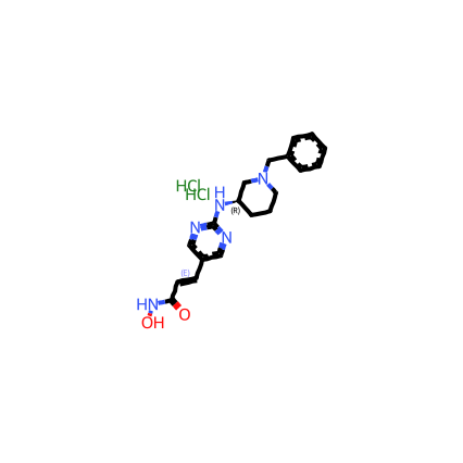 Cl.Cl.O=C(/C=C/c1cnc(N[C@@H]2CCCN(Cc3ccccc3)C2)nc1)NO